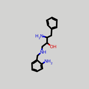 Nc1ccccc1CNCC(O)C(N)Cc1ccccc1